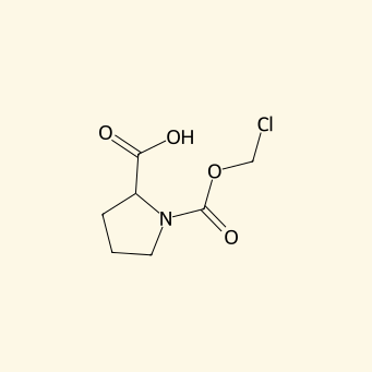 O=C(O)C1CCCN1C(=O)OCCl